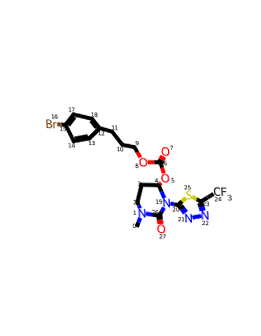 CN1CCC(OC(=O)OCCCc2ccc(Br)cc2)N(c2nnc(C(F)(F)F)s2)C1=O